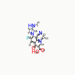 CCNC1CCN(c2c(F)c(C)c3c(=O)c(C(=O)O)cn(C4CC4)c3c2C#N)C1